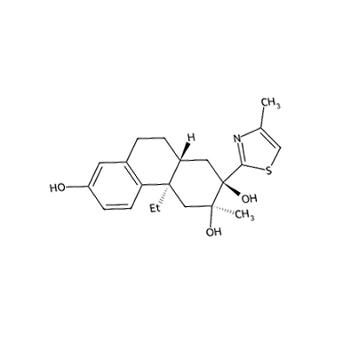 CC[C@@]12C[C@](C)(O)[C@@](O)(c3nc(C)cs3)C[C@H]1CCc1cc(O)ccc12